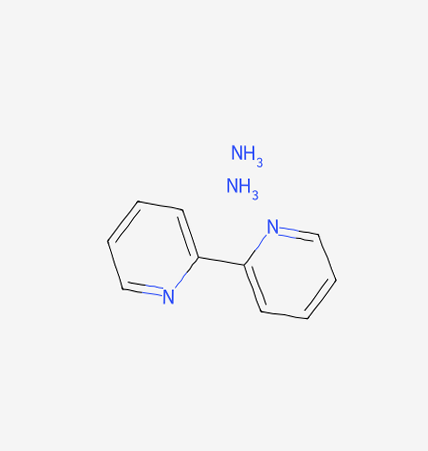 N.N.c1ccc(-c2ccccn2)nc1